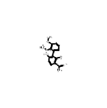 COc1cccc(-c2c(O)ccc(C(N)=O)c2O)c1OC